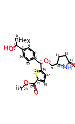 CCCCCCC(O)c1ccc([C@H](OCC2CCC(=O)N2)c2ccc(C(=O)OC(C)C)s2)cc1